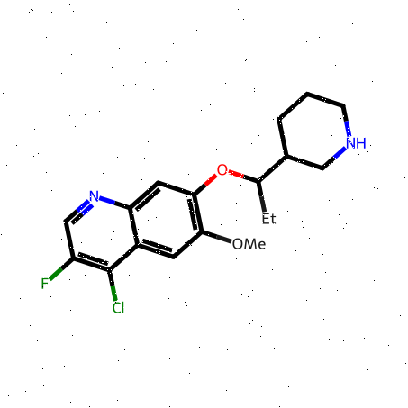 CCC(Oc1cc2ncc(F)c(Cl)c2cc1OC)C1CCCNC1